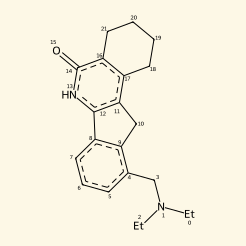 CCN(CC)Cc1cccc2c1Cc1c-2[nH]c(=O)c2c1CCCC2